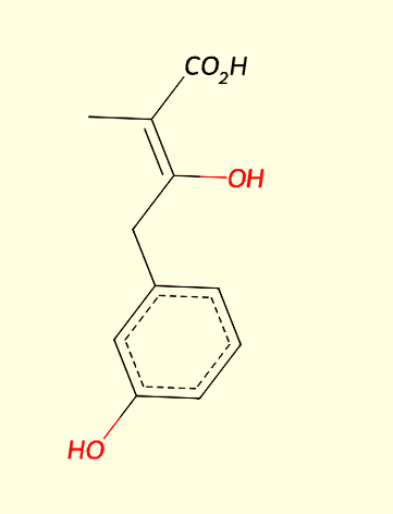 CC(C(=O)O)=C(O)Cc1cccc(O)c1